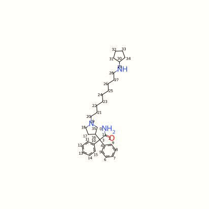 NC(=O)C(c1ccccc1)(c1ccccc1)C1CCN(CCCCCCCCCNC2CCCC2)C1